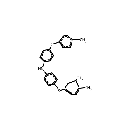 CC1=CC=C(Sc2ccc(Nc3ccc(Sc4ccc(C)cc4)cc3)cc2)CC1C